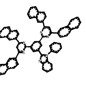 c1ccc(-n2c(-c3cc(-c4nc(-c5ccc6ccccc6c5)cc(-c5ccc6ccccc6c5)n4)cc(-c4nc(-c5ccc6ccccc6c5)cc(-c5ccc6ccccc6c5)n4)c3)nc3ccccc32)cc1